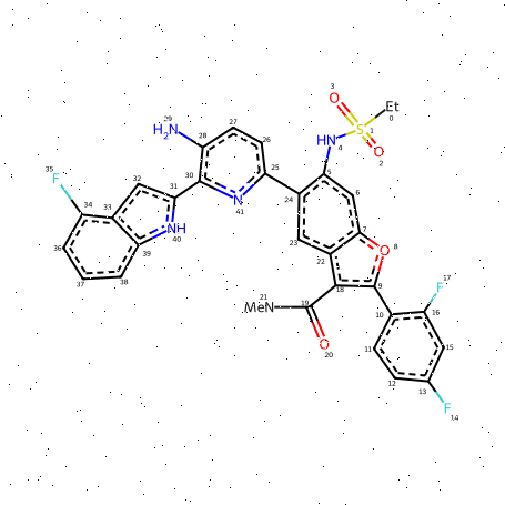 CCS(=O)(=O)Nc1cc2oc(-c3ccc(F)cc3F)c(C(=O)NC)c2cc1-c1ccc(N)c(-c2cc3c(F)cccc3[nH]2)n1